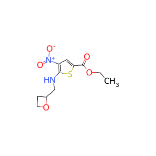 CCOC(=O)c1cc([N+](=O)[O-])c(NCC2CCO2)s1